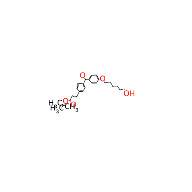 CC(C)(C)OC(=O)/C=C/c1ccc(C(=O)c2ccc(OCCCCCCO)cc2)cc1